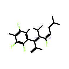 C=C(C)/C(=C(\C(F)=C/CC(C)C)C(C)C)c1c(C)c(F)c(C)c(F)c1F